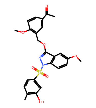 COc1ccc2c(c1)c(OCc1cc(C(C)=O)ccc1OC)nn2S(=O)(=O)c1ccc(C)c(O)c1